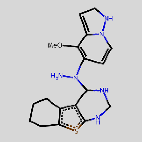 COC1=C(N(N)C2NCNc3sc4c(c32)CCCC4)C=CN2NCC=C12